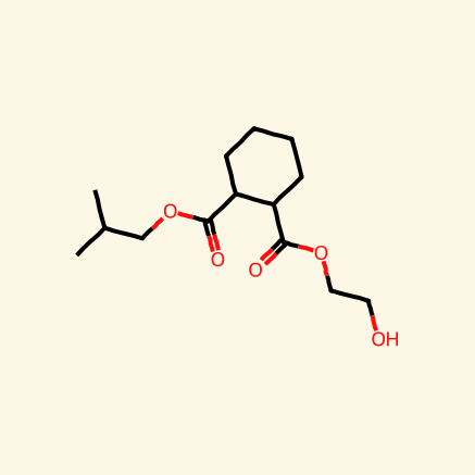 CC(C)COC(=O)C1CCCCC1C(=O)OCCO